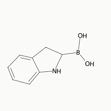 OB(O)C1Cc2ccccc2N1